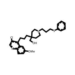 COc1ccc2ncc(Cl)c(CCCC3(CO)CCN(CCCSc4ccccc4)CC3)c2c1